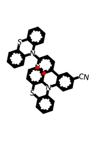 N#Cc1ccc(N2c3ccccc3Sc3ccccc32)c(-c2ccc(N3c4ccccc4Sc4ccccc43)nc2)c1